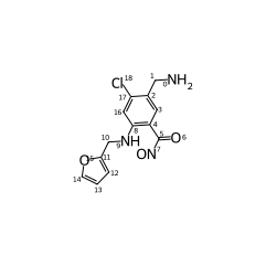 NCc1cc(C(=O)N=O)c(NCc2ccco2)cc1Cl